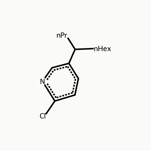 CCCCCCC(CCC)c1ccc(Cl)nc1